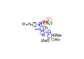 COc1ccc(-n2nc(C)c(C)c2Nc2ccnc(Nc3cc(OC)c(OC)c(OC)c3)n2)cc1.O=C(O)C(F)(F)F